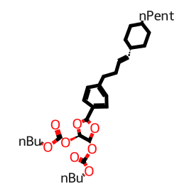 CCCCC[C@H]1CC[C@H](/C=C/CCc2ccc(C3O[C@H](OC(=O)OCCCC)[C@@H](OC(=O)OCCCC)O3)cc2)CC1